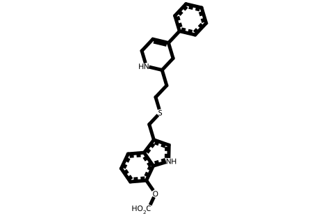 O=C(O)Oc1cccc2c(CSCCC3CC(c4ccccc4)=CCN3)c[nH]c12